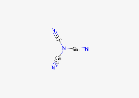 [N]#[Ge][N]([Ge]#[N])[Ge]#[N]